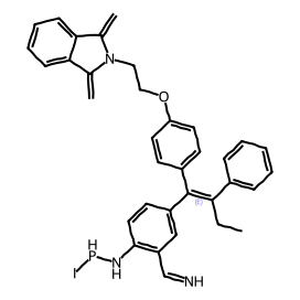 C=c1c2ccccc2c(=C)n1CCOc1ccc(/C(=C(/CC)c2ccccc2)c2ccc(NPI)c(C=N)c2)cc1